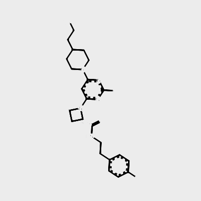 O=C(O)CCC1CCN(c2cc(N3CC[C@H]3C(=O)NCCc3ccc(C(F)(F)F)cc3)nc(C(F)(F)F)n2)CC1